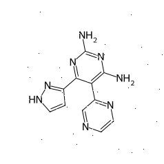 Nc1nc(N)c(-c2cnccn2)c(-c2cc[nH]n2)n1